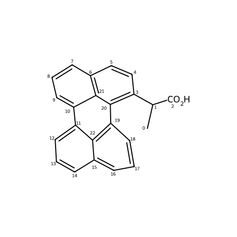 CC(C(=O)O)c1ccc2cccc3c4cccc5cccc(c1c23)c54